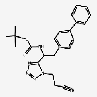 CC(C)(C)OC(=O)NC(Cc1ccc(-c2ccccc2)cc1)c1nnnn1CCC#N